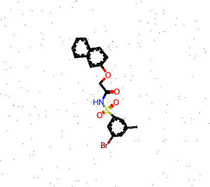 Cc1cc(Br)cc(S(=O)(=O)NC(=O)COc2ccc3ccccc3c2)c1